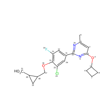 Cc1cc(OC2CCC2)nc(-c2cc(F)c(OCC3CC3C(=O)O)c(Cl)c2)n1